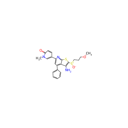 COCCC[S+]([O-])c1sc2nc(-c3ccc(=O)n(C)c3)cc(-c3ccccc3)c2c1N